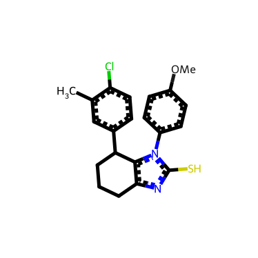 COc1ccc(-n2c(S)nc3c2C(c2ccc(Cl)c(C)c2)CCC3)cc1